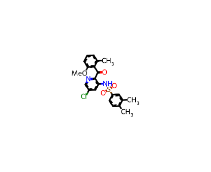 COc1cccc(C)c1C(=O)c1ncc(Cl)cc1NS(=O)(=O)c1ccc(C)c(C)c1